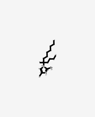 CCCCCCCC(C)(CCCC)n1cc(C)nc1Br